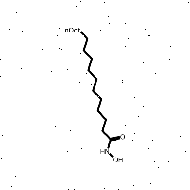 CCCCCCCCCCCCCCCCCCC(=O)NO